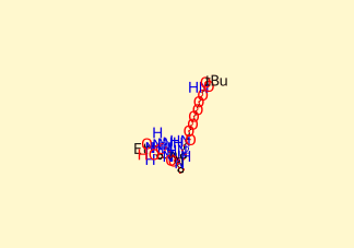 CCC(=O)NCCNC(=O)/N=C(/N)NCCC[C@@H](NC(=O)[C@H](c1cccc(NCCCNC(=O)CCOCCOCCOCCOCCOCCOCCNC(=O)OC(C)(C)C)c1)N1Cc2ccccc2C1)C(=O)NCc1ccc(O)cc1